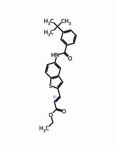 CCOC(=O)/C=C/c1cc2cc(NC(=O)c3cccc(C(C)(C)C)c3)ccc2s1